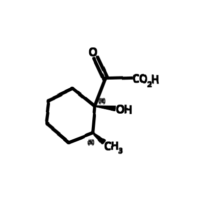 C[C@H]1CCCC[C@]1(O)C(=O)C(=O)O